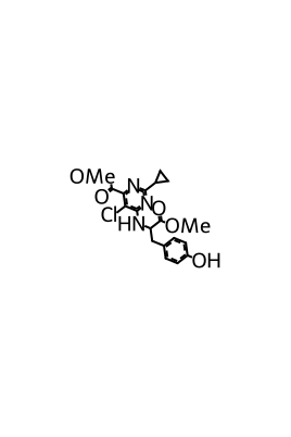 COC(=O)c1nc(C2CC2)nc(NC(Cc2ccc(O)cc2)C(=O)OC)c1Cl